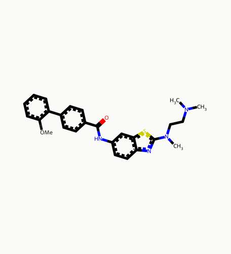 COc1ccccc1-c1ccc(C(=O)Nc2ccc3nc(N(C)CCN(C)C)sc3c2)cc1